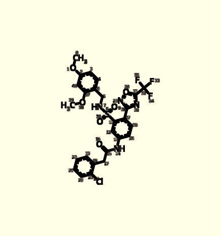 COc1ccc(CNS(=O)(=O)c2cc(NC(=O)Cc3ccccc3Cl)ccc2-c2noc(C(F)(F)F)n2)c(OC)c1